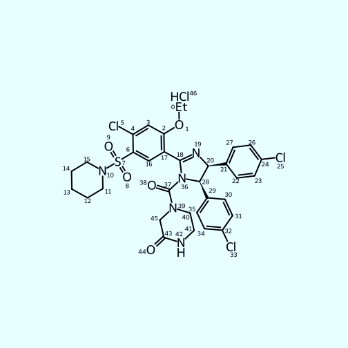 CCOc1cc(Cl)c(S(=O)(=O)N2CCCCC2)cc1C1=N[C@@H](c2ccc(Cl)cc2)[C@@H](c2ccc(Cl)cc2)N1C(=O)N1CCNC(=O)C1.Cl